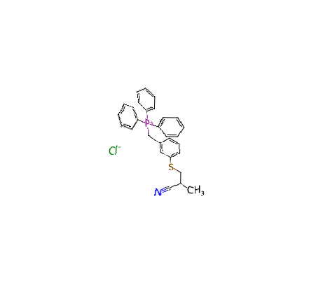 CC(C#N)CSc1cccc(C[P+](c2ccccc2)(c2ccccc2)c2ccccc2)c1.[Cl-]